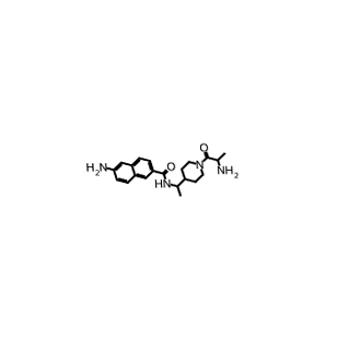 CC(N)C(=O)N1CCC(C(C)NC(=O)c2ccc3cc(N)ccc3c2)CC1